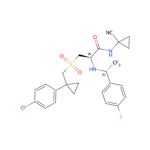 N#CC1(NC(=O)[C@H](CS(=O)(=O)CC2(c3ccc(Cl)cc3)CC2)N[C@@H](c2ccc(F)cc2)C(F)(F)F)CC1